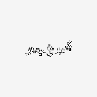 CC(C)(C)OC(=O)NC(=N)c1ccc(OCCCn2ccn(CCCOc3ccc(C(=N)NC(=O)OC(C)(C)C)cc3Cl)c2=NC(=O)C(F)(F)F)c(Cl)c1